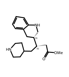 COC(=O)C[C@H](CC1CCNCC1)[C@H]1CNc2ccccc2C1